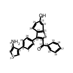 Nc1cscc1-c1ccc(-c2c(C(=O)c3ccccc3)sc3cc(O)ccc23)cc1